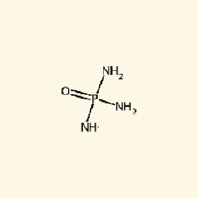 [NH]P(N)(N)=O